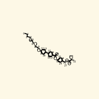 CCCCOCCOCCOc1ccc(-c2ccc(C(=O)Oc3ccc([C@@H](C)OC(=O)[C@H](C)Cl)cc3)cc2)cc1